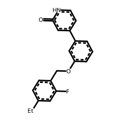 CCc1ccc(COc2cccc(-c3cc[nH]c(=O)c3)c2)c(F)c1